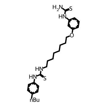 CCCCc1ccc(NC(=S)NCCCCCCCCOc2cccc(NC(N)=S)c2)cc1